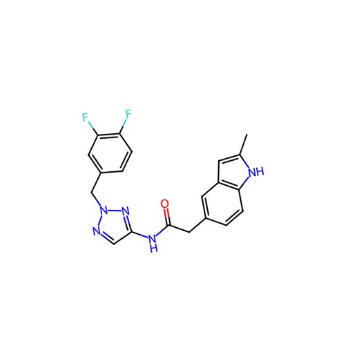 Cc1cc2cc(CC(=O)Nc3cnn(Cc4ccc(F)c(F)c4)n3)ccc2[nH]1